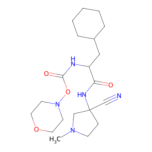 CN1CCC(C#N)(NC(=O)C(CC2CCCCC2)NC(=O)ON2CCOCC2)C1